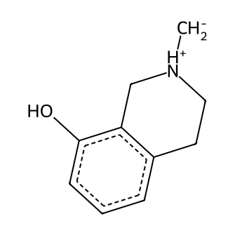 [CH2-][NH+]1CCc2cccc(O)c2C1